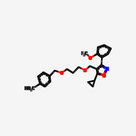 O=C(O)c1ccc(COCCCOCc2c(-c3ccccc3OC(F)(F)F)noc2C2CC2)cc1